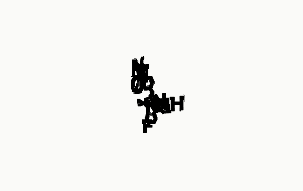 CCC1NN=C2/C(=C/c3ccc(-n4cnc(C)c4)c(OC)c3)CC3(CC3)CN2C1c1ccc(F)cc1